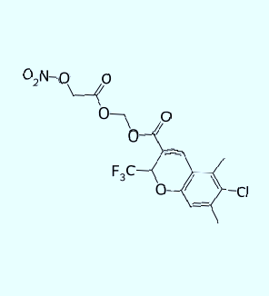 Cc1cc2c(c(C)c1Cl)C=C(C(=O)OCOC(=O)CO[N+](=O)[O-])C(C(F)(F)F)O2